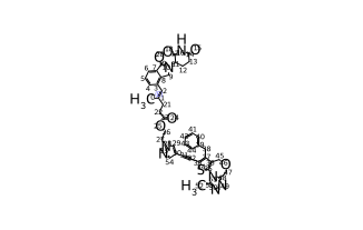 C/C(=C\c1cccc2c1CN(C1CCC(=O)NC1=O)C2=O)CCC(=O)OCCn1cc(C#Cc2sc3c(c2Cc2ccccc2)COCc2nnc(C)n2-3)cn1